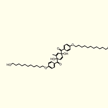 CC1=CC(O)(C(=O)c2ccc(OCCCCCCCCCCCO)cc2)C=CC1(O)C(=O)c1ccc(OCCCCCCCCCCCO)cc1